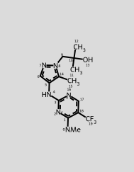 CNc1nc(Nc2cnn(CC(C)(C)O)c2C)ncc1C(F)(F)F